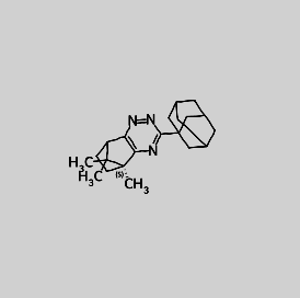 CC1(C)C2CC[C@]1(C)c1nc(C34CC5CC(CC(C5)C3)C4)nnc12